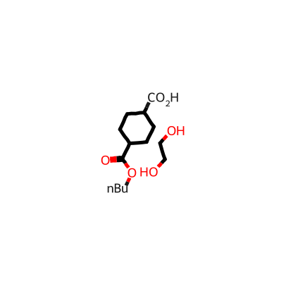 CCCCOC(=O)C1CCC(C(=O)O)CC1.OCCO